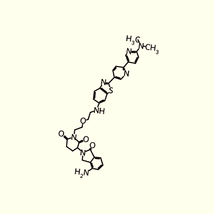 CN(C)c1ccc(-c2ccc(-c3nc4ccc(NCCOCCN5C(=O)CCC(N6Cc7c(N)cccc7C6=O)C5=O)cc4s3)cn2)cn1